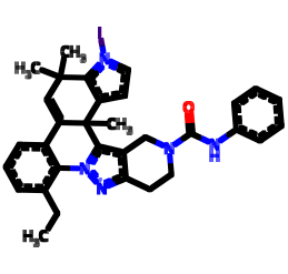 CCc1cccc2c1-n1nc3c(c1C1(C)C2=CC(C)(C)c2c1ccn2I)CN(C(=O)Nc1ccccc1)CC3